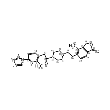 Cc1nc(-n2cnnn2)ccc1CC(=O)N1CCN(CCc2ccc3c(c2C)COC3=O)CC1